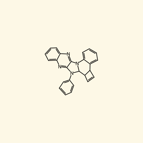 C1=CC2C1c1ccccc1N1c3nc4ccccc4nc3N(c3ccccc3)C21